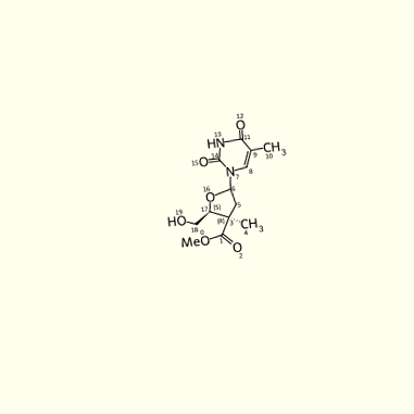 COC(=O)[C@]1(C)CC(n2cc(C)c(=O)[nH]c2=O)O[C@@H]1CO